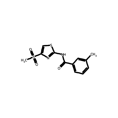 Cc1cccc(C(=O)Nc2nc(S(C)(=O)=O)cs2)c1